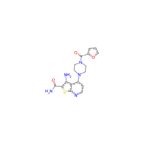 NC(=O)c1sc2nccc(N3CCN(C(=O)c4ccco4)CC3)c2c1N